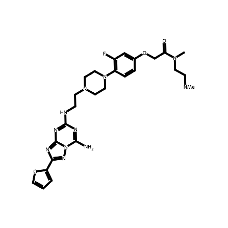 CNCCN(C)C(=O)COc1ccc(N2CCN(CCNc3nc(N)n4nc(-c5ccco5)nc4n3)CC2)c(F)c1